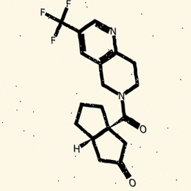 O=C1C[C@@H]2CCC[C@]2(C(=O)N2CCc3ncc(C(F)(F)F)cc3C2)C1